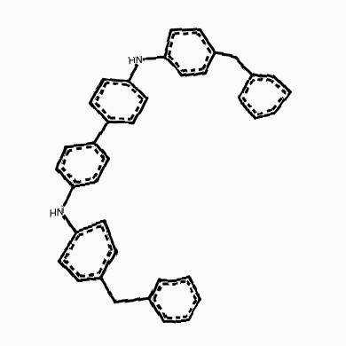 c1ccc(Cc2ccc(Nc3ccc(-c4ccc(Nc5ccc(Cc6ccccc6)cc5)cc4)cc3)cc2)cc1